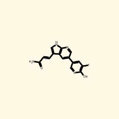 N#Cc1ncc(-c2cnc3[nH]cc(/C=C/C(N)=O)c3c2)cc1F